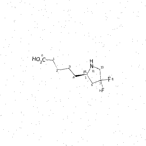 O=C(O)CCCC[C@@H]1CC(F)(F)CN1